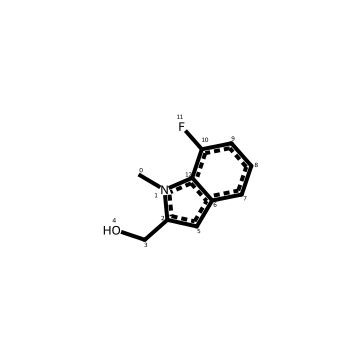 Cn1c(CO)cc2cccc(F)c21